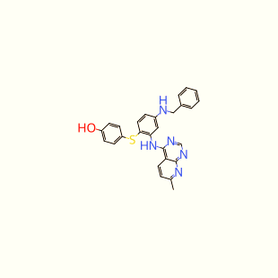 Cc1ccc2c(Nc3cc(NCc4ccccc4)ccc3Sc3ccc(O)cc3)ncnc2n1